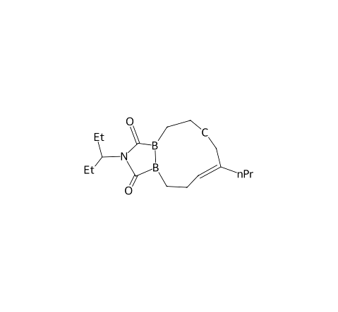 CCC/C1=C\CCB2B(CCCC1)C(=O)N(C(CC)CC)C2=O